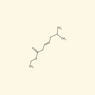 CCOC(=O)C/C=C/CC(C)C